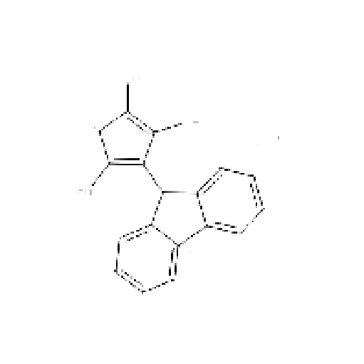 CC1=[C]([Zr+2])CC(C(C)(C)C)=C1C1c2ccccc2-c2ccccc21.[Cl-].[Cl-]